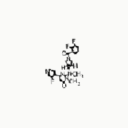 CN(c1nc(-c2ccncc2F)cc(=O)n1C)[C@@H]1[C@@H]2CN(C(=O)c3cccc(F)c3F)C[C@@H]21